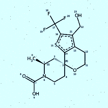 C[C@H]1C[C@@]2(CCN1C(=O)O)OCCc1c2sc(C(F)(F)F)c1CO